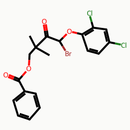 CC(C)(COC(=O)c1ccccc1)C(=O)C(Br)Oc1ccc(Cl)cc1Cl